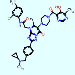 CCc1c(N2CCN(C(=O)c3ncnc(C)c3O)CC2)c(=O)n2nc(-c3ccc(CN(C)C4CC4)cc3)nc2n1CC(=O)Nc1ccc(C(F)(F)F)cc1Cl